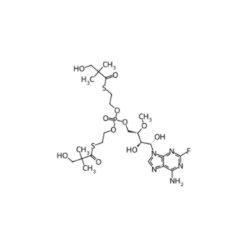 CO[C@H](COP(=O)(OCCSC(=O)C(C)(C)CO)OCCSC(=O)C(C)(C)CO)[C@H](O)[C@H](O)n1cnc2c(N)nc(F)nc21